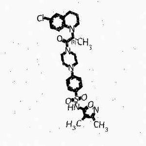 Cc1noc(NS(=O)(=O)c2ccc(N3CCN(C(=O)[C@@H](C)N4CCCc5cc(Cl)ccc54)CC3)cc2)c1C